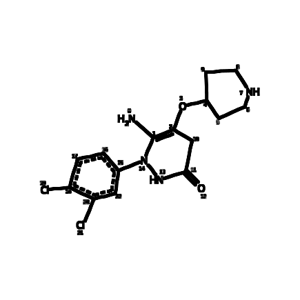 NC1=C(OC2CCNCC2)CC(=O)NN1c1ccc(Cl)c(Cl)c1